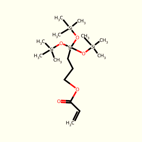 C=CC(=O)OCCC[Si](O[Si](C)(C)C)(O[Si](C)(C)C)O[Si](C)(C)C